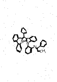 C=C/C(=N\c1ccccc1-n1c2ccccc2c2c(-c3ccccc3)c3c4ccccc4c4ccccc4n3c21)c1ccccc1